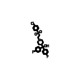 O=S(=O)(CCN1CCC(C(O)(c2ccc(F)cc2)c2ccc(F)cc2)CC1)c1ccc(Cl)cc1